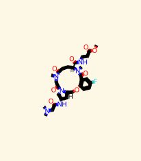 COC(=O)CCNC(=O)[C@@H]1CCC(=O)N(C)CC(=O)N2C[C@@H](NC(=O)CN(C)C)C[C@H]2COc2ccc(F)cc2C(=O)N1C